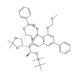 COCOc1cc(-c2ccccc2)cc(/C=C/C[C@@H]2OC(C)(C)O[C@@H]2C(/C=C\[C@@H](C)[C@H](C)O[Si](C)(C)C(C)(C)C)OC(=O)c2ccccc2)c1C(=O)OC